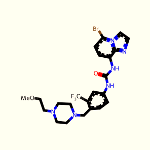 COCCN1CCN(Cc2ccc(NC(=O)Nc3ccc(Br)n4ccnc34)cc2C(F)(F)F)CC1